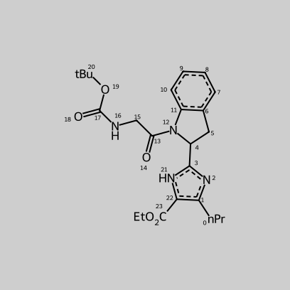 CCCc1nc(C2Cc3ccccc3N2C(=O)CNC(=O)OC(C)(C)C)[nH]c1C(=O)OCC